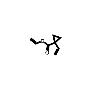 C=COC(=O)C1(C=C)CC1